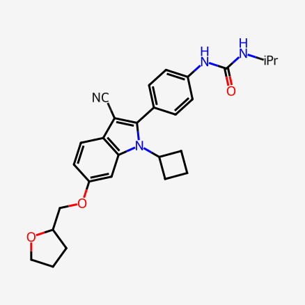 CC(C)NC(=O)Nc1ccc(-c2c(C#N)c3ccc(OCC4CCCO4)cc3n2C2CCC2)cc1